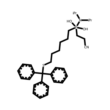 CC(C)N(C(C)C)P(O)(O)(CCC#N)CCCCCCSC(c1ccccc1)(c1ccccc1)c1ccccc1